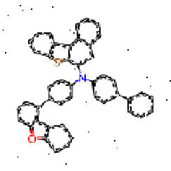 c1ccc(-c2ccc(N(c3ccc(-c4cccc5oc6ccccc6c45)cc3)c3cc4ccccc4c4c3sc3ccccc34)cc2)cc1